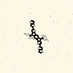 CC(C)=C1c2cc3c(cc2-c2sc(-c4cc5sccc5s4)cc21)C(=C(C)C)c1cc(-c2cc4sccc4s2)sc1-3